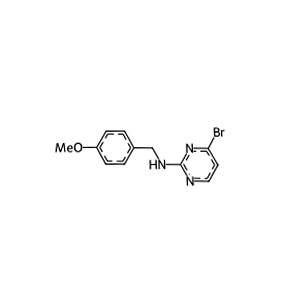 COc1ccc(CNc2nccc(Br)n2)cc1